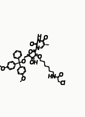 COc1ccc(C(OC[C@H]2O[C@@H](n3cc(C)c(=O)[nH]c3=O)[C@H](OCCCCCCNC(=O)CCl)[C@@H]2O)(c2ccccc2)c2ccc(OC)cc2)cc1